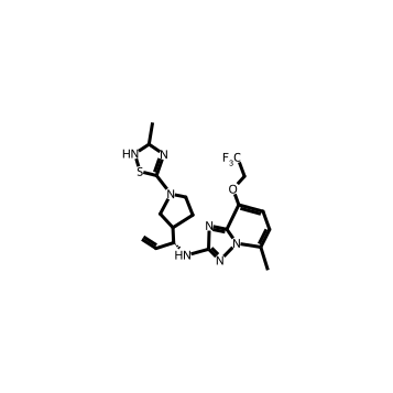 C=C[C@@H](Nc1nc2c(OCC(F)(F)F)ccc(C)n2n1)C1CCN(C2=NC(C)NS2)C1